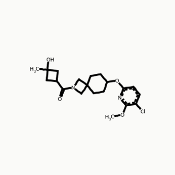 COc1nc(OC2CCC3(CC2)CN(C(=O)C2CC(C)(O)C2)C3)ccc1Cl